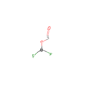 O=COB(F)F